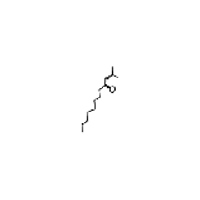 CCCCCCCCC(=O)C=C(C)C